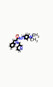 CN(C)c1ccc(CNC(=O)c2cc3ccccc3n2Cc2cccnc2)cc1